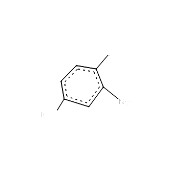 O=C(O)c1ccc(I)c([N+](=O)[O-])c1